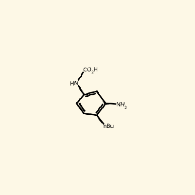 CCCCc1ccc(NC(=O)O)cc1N